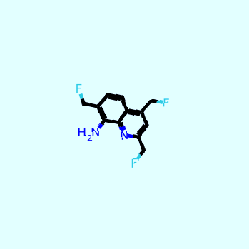 Nc1c(CF)ccc2c(CF)cc(CF)nc12